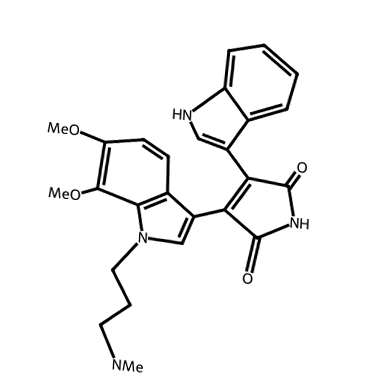 CNCCCn1cc(C2=C(c3c[nH]c4ccccc34)C(=O)NC2=O)c2ccc(OC)c(OC)c21